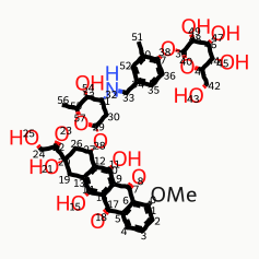 COc1cccc2c1C(=O)c1c(O)c3c(c(O)c1C2=O)C[C@@](O)(C(=O)CO)C[C@@H]3O[C@H]1C[C@@H](NCc2ccc(O[C@@H]3OC(CO)[C@@H](O)C(O)C3O)c(C)c2)[C@H](O)C(C)O1